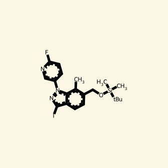 Cc1c(CO[Si](C)(C)C(C)(C)C)ccc2c(I)nn(-c3ccc(F)nc3)c12